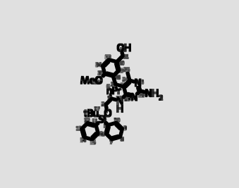 CCC[C@@H](CO[Si](c1ccccc1)(c1ccccc1)C(C)(C)C)Nc1nc(N)nc(C)c1Cc1cc(CO)ccc1OC